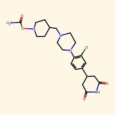 NC(=O)ON1CCC(CN2CCN(c3ccc(C4CC(=O)NC(=O)C4)cc3Cl)CC2)CC1